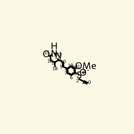 C#CC[S+]([O-])c1ccc(C=CC2=NNC(=O)CC2C)cc1OC